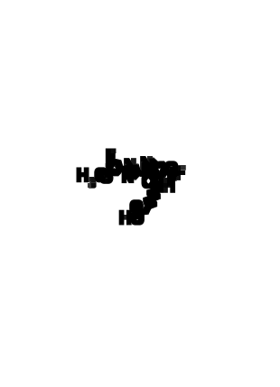 COc1cc(F)cc(-c2ncc(Cn3ncc4cc(OC(F)F)cc(C(=O)NC5CC6(CC(CC(=O)O)C6)C5)c43)cn2)c1